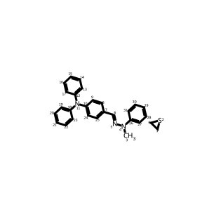 C1CS1.CN(N=Cc1ccc(N(c2ccccc2)c2ccccc2)cc1)c1ccccc1